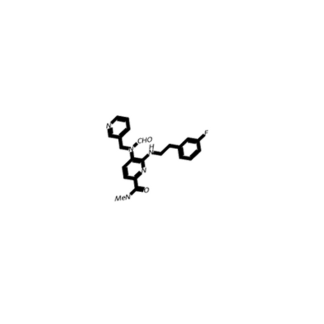 CNC(=O)c1ccc(N(C=O)Cc2cccnc2)c(NCCc2cccc(F)c2)n1